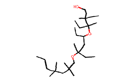 CCCC(C)(C)CC(C)(C)COC(C)(CC)CC(CC)OC(C)(CC)C(C)(C)CO